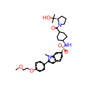 COCCOc1ccc(-c2cc3ccc(S(=O)(=O)NC4CCC(C(=O)N5CCC[C@@H]5C(C)(C)O)CC4)cc3n2C)cc1